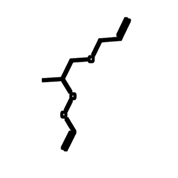 C=CCOCC(C)OOC=C